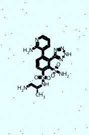 C[C@@H](CN)NS(=O)(=O)c1ccc(-c2cccnc2N)c(-c2nn[nH]n2)c1S(N)(=O)=O